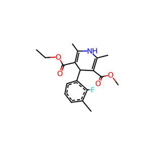 CCOC(=O)C1=C(C)NC(C)=C(C(=O)OC)C1c1cccc(C)c1F